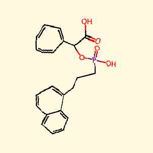 O=C(O)C(OP(=O)(O)CCCc1cccc2ccccc12)c1ccccc1